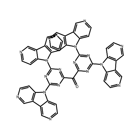 O=C(c1nc(-n2c3ccncc3c3cnccc32)nc(-n2c3ccncc3c3cnccc32)n1)c1nc(-n2c3ccncc3c3cnccc32)nc(-n2c3ccncc3c3cnccc32)n1